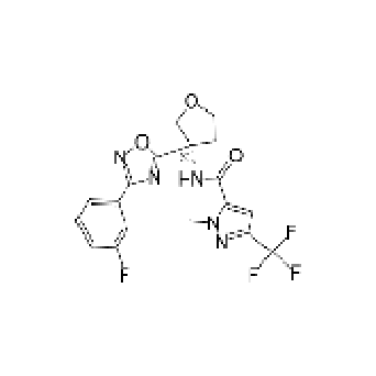 Cn1nc(C(F)(F)F)cc1C(=O)N[C@@]1(c2nc(-c3cccc(F)c3)no2)CCOC1